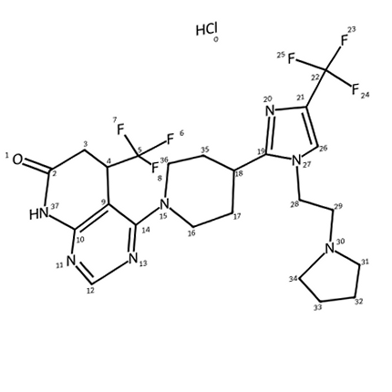 Cl.O=C1CC(C(F)(F)F)c2c(ncnc2N2CCC(c3nc(C(F)(F)F)cn3CCN3CCCC3)CC2)N1